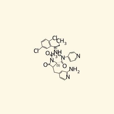 CC[C@@H](NC(=O)N1C(=O)C(Cc2ccnc(N)c2)[C@H]1C(=O)N(C)c1ccncc1)c1cc(Cl)ccc1Cl